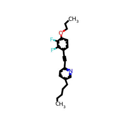 CCCCCc1ccc(C#Cc2ccc(OCCC)c(F)c2F)nc1